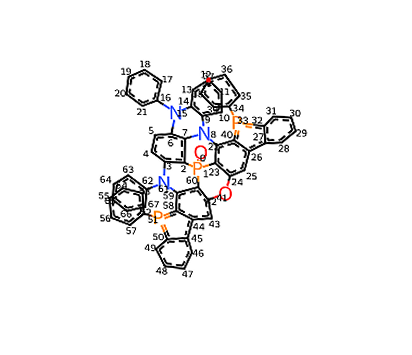 O=P12c3c4ccc5c3N(c3ccccc3N5c3ccccc3)c3c1c(cc1c5ccccc5p(-c5ccccc5)c31)Oc1cc3c5ccccc5p(-c5ccccc5)c3c(c12)N4c1ccccc1